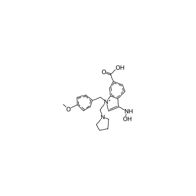 COc1ccc(C[N+]2(CN3CCCC3)C=C(NO)c3ccc(C(=O)O)cc32)cc1